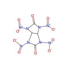 O=C1N([N+](=O)[O-])C2C(N1[N+](=O)[O-])N([N+](=O)[O-])C(=O)N2[N+](=O)[O-]